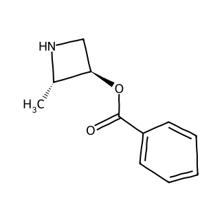 C[C@@H]1NC[C@H]1OC(=O)c1ccccc1